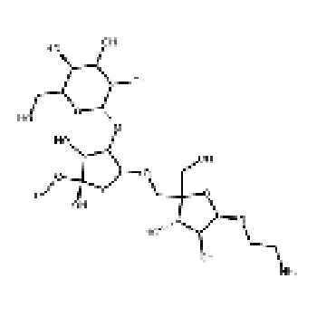 CCO[C@@]1(O)O[C@H](OCC2(CO)O[C@@H](OCCN)C(O)[C@@H]2O)C(O[C@@H]2OC(CO)[C@@H](O)C(O)C2O)C1O